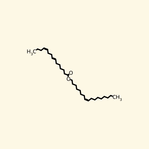 CCC/C=C\CC/C=C/CCCCCC(=O)OCCCCCCC/C=C\CCCCCCCC